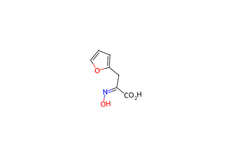 O=C(O)C(Cc1ccco1)=NO